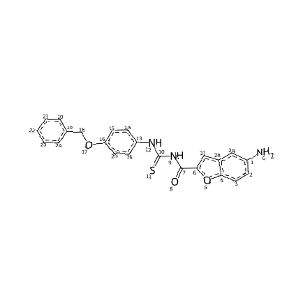 Nc1ccc2oc(C(=O)NC(=S)Nc3ccc(OCc4ccccc4)cc3)cc2c1